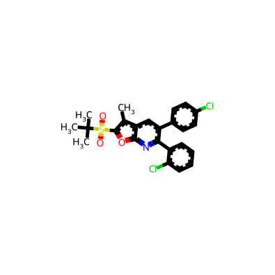 Cc1c(S(=O)(=O)C(C)(C)C)oc2nc(-c3ccccc3Cl)c(-c3ccc(Cl)cc3)cc12